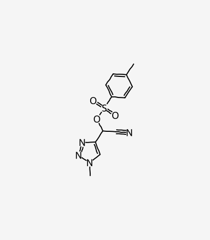 Cc1ccc(S(=O)(=O)OC(C#N)c2cn(C)nn2)cc1